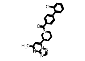 Cc1cc(C2CCCN(C(=O)c3ccc(-c4ccccc4Cl)cc3)C2)n2ncnc2n1